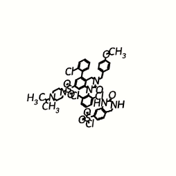 COc1ccc(CN2Cc3c(-c4ccccc4Cl)cc(S(=O)(=O)N4CCN(C(C)C)CC4)cc3N(c3c(Cl)cccc3Cl)C2=O)cc1.O=C1NCc2ccc(S(=O)(=O)Cl)cc2N1